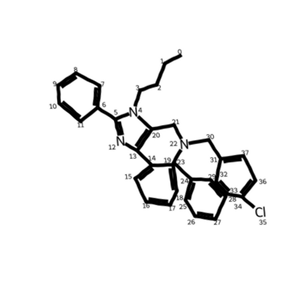 CCCCn1c(-c2ccccc2)nc(-c2ccccc2)c1CN(Cc1ccccc1)Cc1ccc(Cl)cc1